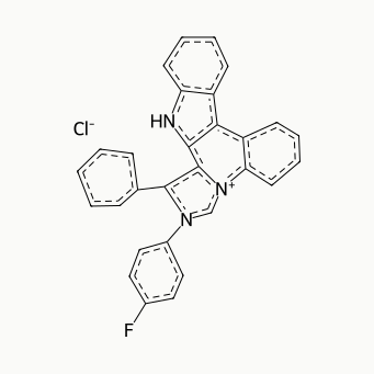 Fc1ccc(-n2c[n+]3c4ccccc4c4c5ccccc5[nH]c4c3c2-c2ccccc2)cc1.[Cl-]